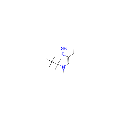 CC/C(=C/N(C)C(C)(C)C(C)(C)C)N=N